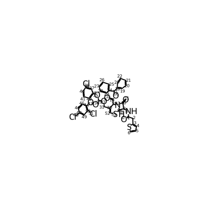 O=C(Cc1cccs1)NC1C(=O)N2C(C(=O)OC(c3ccccc3)c3ccccc3)C(COC(=O)Oc3cc(Cl)ccc3Oc3ccc(Cl)cc3Cl)=CS[C@@H]12